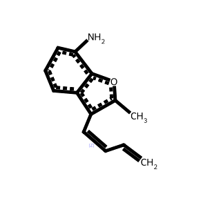 C=C/C=C\c1c(C)oc2c(N)cccc12